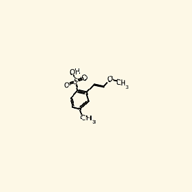 COCCc1cc(C)ccc1S(=O)(=O)O